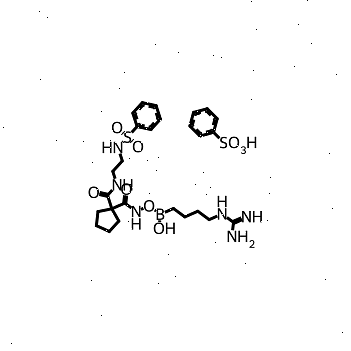 N=C(N)NCCCCB(O)ONC(=O)C1(C(=O)NCCNS(=O)(=O)c2ccccc2)CCCC1.O=S(=O)(O)c1ccccc1